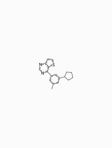 Cc1cc(-c2ncnc3ccsc23)cc(C2CCCC2)c1